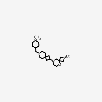 CCN1CC2(C1)CN(C1CC3(CCN(CC4CCN(C)CC4)CC3)C1)CCO2